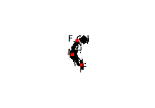 C[C@@H](COCc1cc2n(n1)CCN(c1ncc(C(F)F)cn1)C2)Nc1cnncc1C(F)(F)F